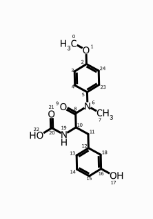 COc1ccc(N(C)C(=O)C(Cc2cccc(O)c2)NC(=O)O)cc1